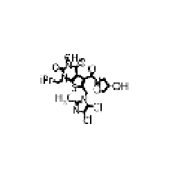 Cc1nc(Cl)c(Cl)n1Cc1sc2c(c1C(=O)N1C[C@H](O)CO1)c(=O)n(C)c(=O)n2CC(C)C